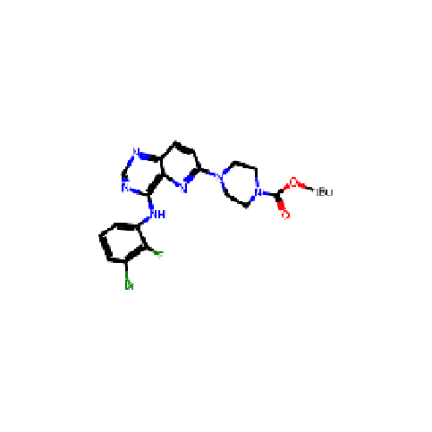 CC(C)(C)OC(=O)N1CCN(c2ccc3ncnc(Nc4cccc(Br)c4F)c3n2)CC1